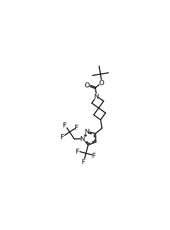 CC(C)(C)OC(=O)N1CC2(CC(Cc3cc(C(F)(F)F)n(CC(F)(F)F)n3)C2)C1